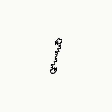 c1ccc(SCCSCCSCCSc2ccccn2)nc1